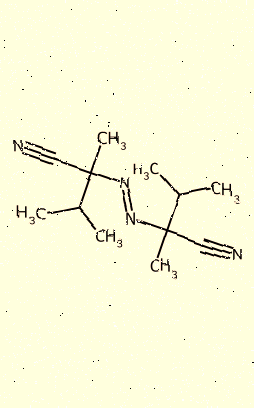 CC(C)C(C)(C#N)/N=N/C(C)(C#N)C(C)C